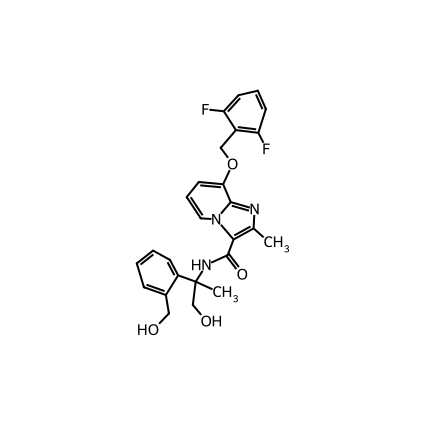 Cc1nc2c(OCc3c(F)cccc3F)cccn2c1C(=O)NC(C)(CO)c1ccccc1CO